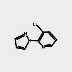 Clc1[c]ccnc1-n1cccn1